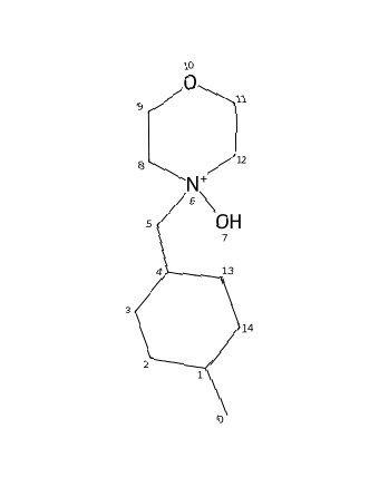 CC1CCC(C[N+]2(O)CCOCC2)CC1